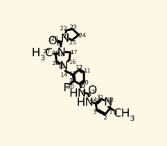 Cc1ccc(NC(=O)Nc2cccc(CN3CCN(C(=O)N4CCCC4)[C@H](C)C3)c2F)cn1